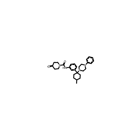 CC1CCC(c2cccc(NC(=O)N3CCC(=O)CC3)c2)(N2CCN(c3ccccc3)CC2)CC1